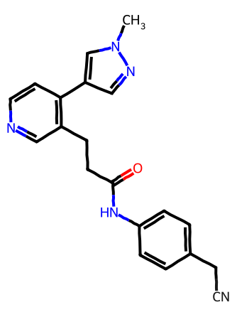 Cn1cc(-c2ccncc2CCC(=O)Nc2ccc(CC#N)cc2)cn1